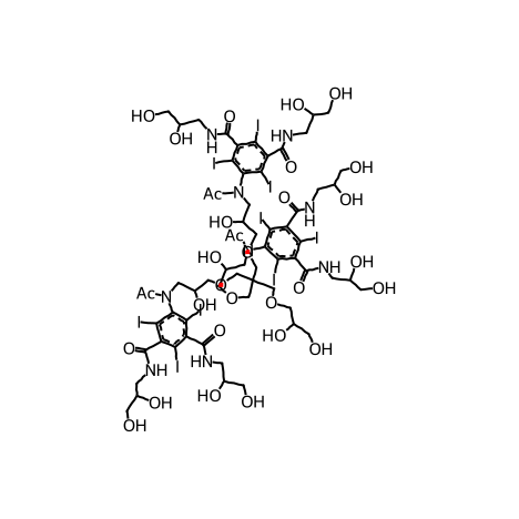 CC(=O)N(CC(O)COCC(COCC(O)CO)(COCC(O)CN(C(C)=O)c1c(I)c(C(=O)NCC(O)CO)c(I)c(C(=O)NCC(O)CO)c1I)COCC(O)CN(C(C)=O)c1c(I)c(C(=O)NCC(O)CO)c(I)c(C(=O)NCC(O)CO)c1I)c1c(I)c(C(=O)NCC(O)CO)c(I)c(C(=O)NCC(O)CO)c1I